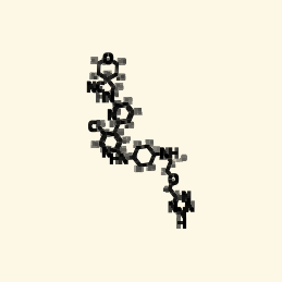 C[C@H](COCc1nn[nH]n1)NC1CCC(Nc2cc(-c3cccc(NCC4(C#N)CCOCC4)n3)c(Cl)cn2)CC1